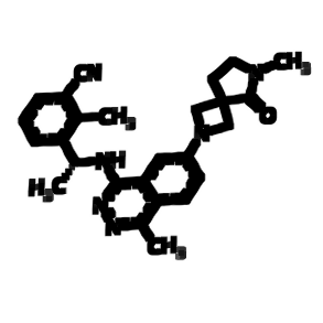 Cc1c(C#N)cccc1[C@@H](C)Nc1nnc(C)c2ccc(N3CC4(CCN(C)C4=O)C3)cc12